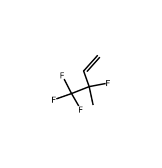 C=CC(C)(F)C(F)(F)F